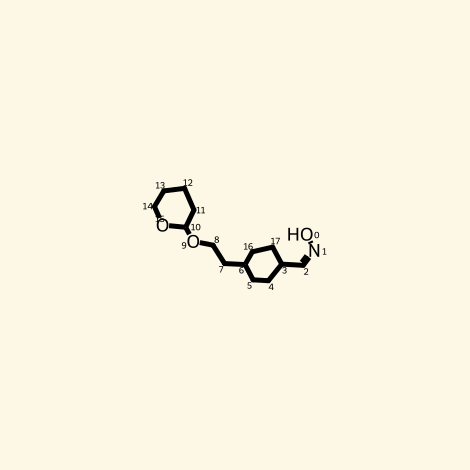 O/N=C\C1CCC(CCOC2CCCCO2)CC1